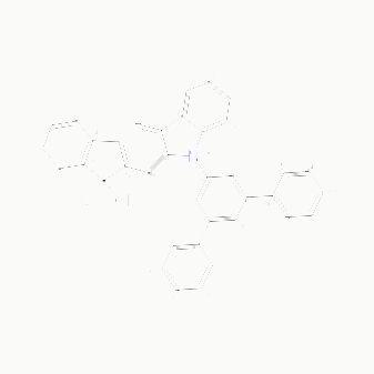 CC1(C)C2=C(C=CCC2)c2cc3c4ccccc4n(-c4cc(-c5ccccc5)cc(-c5ccccc5)c4)c3cc21